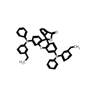 CCc1cccc(N(c2ccccc2)c2ccc3c(c2)Oc2cc(N(c4ccccc4)c4cccc(CC)c4)ccc2C32OC(=O)c3ccccc32)c1